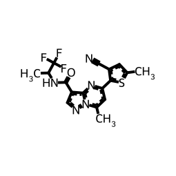 Cc1cc(C#N)c(-c2cc(C)n3ncc(C(=O)NC(C)C(F)(F)F)c3n2)s1